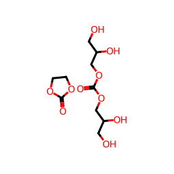 O=C(OCC(O)CO)OCC(O)CO.O=C1OCCO1